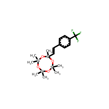 C[Si]1(C)O[Si](C)(C)O[Si](C)(C=Cc2ccc(C(F)(F)F)cc2)O[Si](C)(C)O1